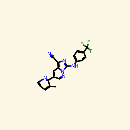 Cc1cccnc1-c1cnn2c(Nc3ccc(C(F)(F)F)cc3)nc(C#N)c2c1